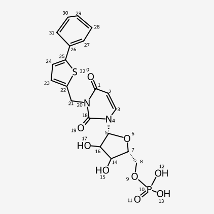 O=c1ccn([C@@H]2O[C@H](COP(=O)(O)O)C(O)C2O)c(=O)n1Cc1ccc(-c2ccccc2)s1